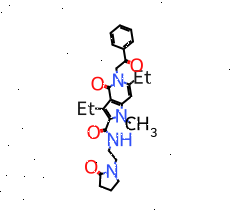 CCc1c(C(=O)NCCN2CCCC2=O)n(C)c2cc(CC)n(CC(=O)c3ccccc3)c(=O)c12